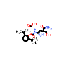 CC(C)c1cccc(C(C)C)c1OC(=O)NCC[C@](N)(CO)C(N)=O.O=CO